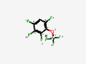 Fc1cc(F)c(O[Si](F)(F)F)c(F)c1F